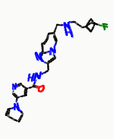 O=C(NCc1cn2cc(CNCC34CC(F)(C3)C4)ccc2n1)c1cncc(-n2cccc2)c1